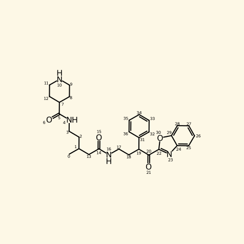 CC(CCNC(=O)C1CCNCC1)CC(=O)NCCC(C(=O)c1nc2ccccc2o1)c1ccccc1